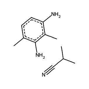 CC(C)C#N.Cc1ccc(N)c(C)c1N